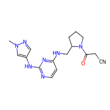 Cn1cc(Nc2nccc(NCC3CCCN3C(=O)CC#N)n2)cn1